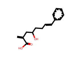 C=C(CC(O)CCC=Cc1ccccc1)C(=O)O